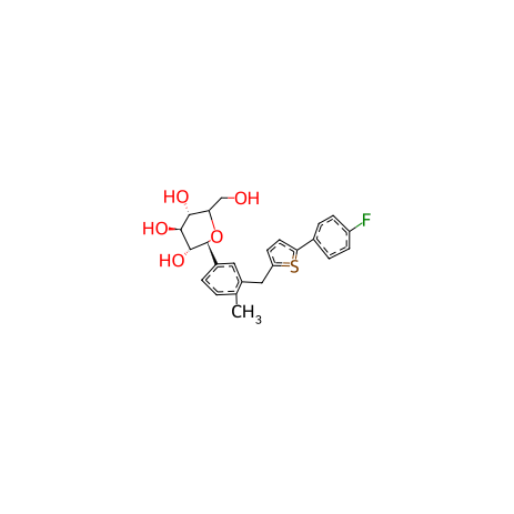 Cc1ccc([C@@H]2OC(CO)[C@@H](O)[C@H](O)[C@H]2O)cc1Cc1ccc(-c2ccc(F)cc2)s1